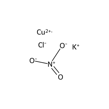 O=[N+]([O-])[O-].[Cl-].[Cu+2].[K+]